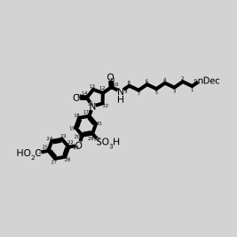 CCCCCCCCCCCCCCCCCCNC(=O)C1CC(=O)N(c2ccc(Oc3ccc(C(=O)O)cc3)c(S(=O)(=O)O)c2)C1